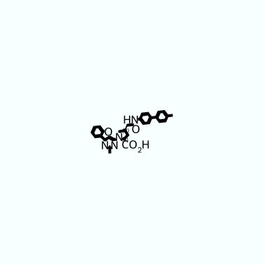 Cc1ccc(-c2ccc(NC(=O)C[C@H]3C[C@@H](C(=O)O)N(c4nc(C)nc5c4oc4ccccc45)C3)cc2)cc1